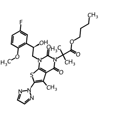 CCCCOC(=O)C(C)(C)n1c(=O)c2c(C)c(-n3nccn3)sc2n(C[C@H](O)c2cc(F)ccc2OC)c1=O